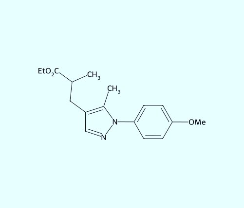 CCOC(=O)C(C)Cc1cnn(-c2ccc(OC)cc2)c1C